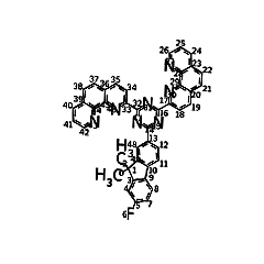 CC1(C)c2cc(F)ccc2-c2ccc(-c3nc(-c4ccc5ccc6cccnc6c5n4)nc(-c4ccc5ccc6cccnc6c5n4)n3)cc21